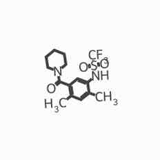 Cc1cc(C)c(C(=O)N2CCCCC2)cc1NS(=O)(=O)C(F)(F)F